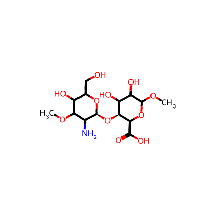 COC1OC(C(=O)O)[C@@H](O[C@@H]2OC(CO)C(O)C(OC)C2N)C(O)C1O